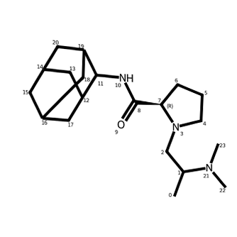 CC(CN1CCC[C@@H]1C(=O)NC1C2CC3CC(C2)CC1C3)N(C)C